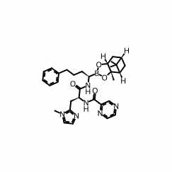 Cn1ccnc1C[C@H](NC(=O)c1cnccn1)C(=O)N[C@@H](CCCc1ccccc1)B1O[C@@H]2C[C@@H]3C[C@@H](C3(C)C)[C@]2(C)O1